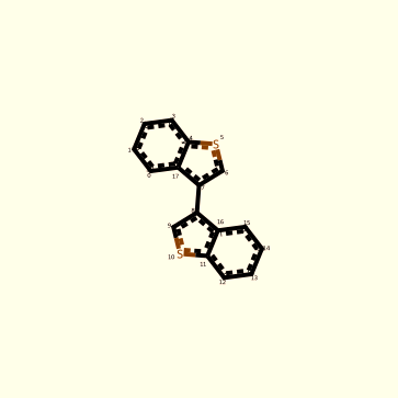 [c]1cccc2scc(-c3csc4ccccc34)c12